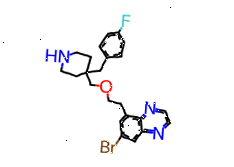 Fc1ccc(CC2(COCCc3cc(Br)cc4nccnc34)CCNCC2)cc1